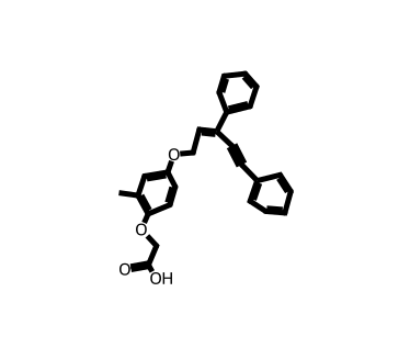 Cc1cc(OC/C=C(\C#Cc2ccccc2)c2ccccc2)ccc1OCC(=O)O